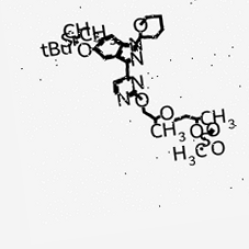 CC(COc1nccc(-c2nn(C3CCCCO3)c3ccc(O[Si](C)(C)C(C)(C)C)cc23)n1)OCCC(C)OS(C)(=O)=O